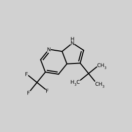 CC(C)(C)C1=CNC2N=CC(C(F)(F)F)=CC12